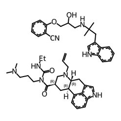 C=CCN1C[C@H](C(=O)N(CCCN(C)C)C(=O)NCC)C[C@@H]2c3cccc4[nH]cc(c34)C[C@H]21.CC(C)(Cc1c[nH]c2ccccc12)NCC(O)COc1ccccc1C#N